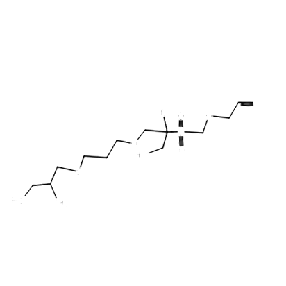 C=CCOCS(=O)(=O)C(CC)(CO)COCCCSCC(O)CO